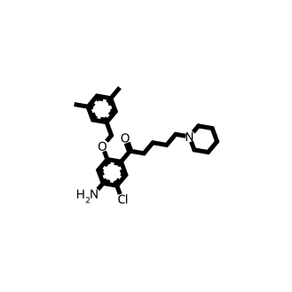 Cc1cc(C)cc(COc2cc(N)c(Cl)cc2C(=O)CCCCN2CCCCC2)c1